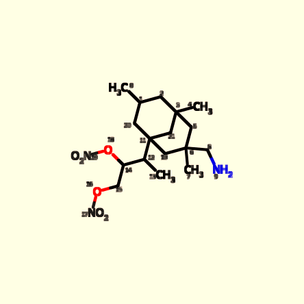 CC1CC2(C)CC(C)(CN)CC(C(C)C(CO[N+](=O)[O-])O[N+](=O)[O-])(C1)C2